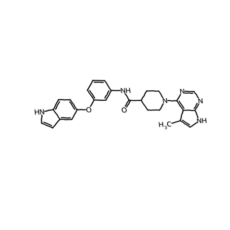 Cc1c[nH]c2ncnc(N3CCC(C(=O)Nc4cccc(Oc5ccc6[nH]ccc6c5)c4)CC3)c12